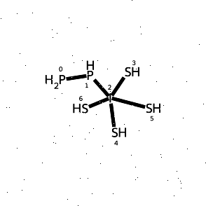 PPI(S)(S)(S)S